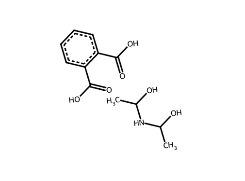 CC(O)NC(C)O.O=C(O)c1ccccc1C(=O)O